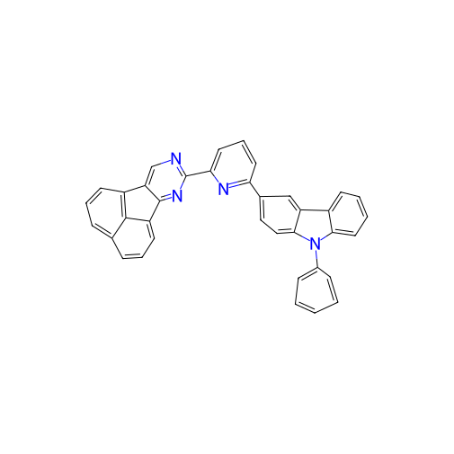 c1ccc(-n2c3ccccc3c3cc(-c4cccc(-c5ncc6c(n5)-c5cccc7cccc-6c57)n4)ccc32)cc1